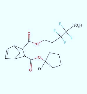 CCC1(OC(=O)C2C3C=CC(C3)C2C(=O)OCCC(F)(F)C(F)(F)S(=O)(=O)O)CCCC1